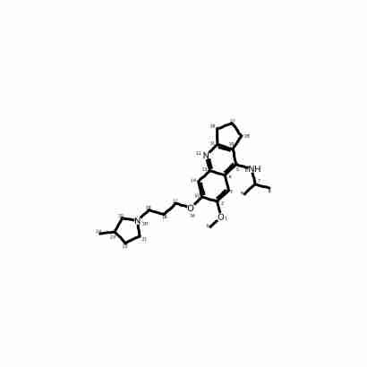 COc1cc2c(NC(C)C)c3c(nc2cc1OCCCN1CCC(C)C1)CCC3